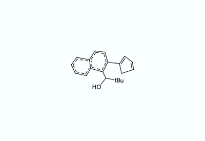 CC(C)(C)C(O)c1c(C2=CC=CC2)ccc2ccccc12